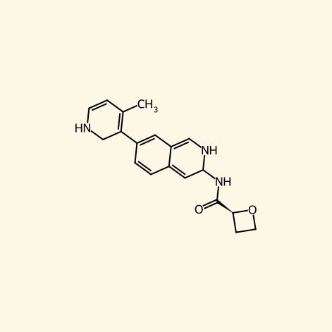 CC1=C(c2ccc3c(c2)=CNC(NC(=O)[C@@H]2CCO2)C=3)CNC=C1